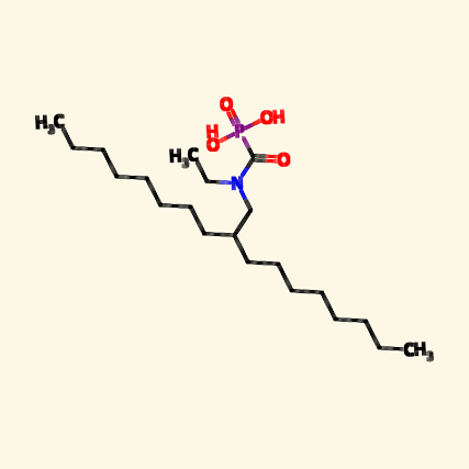 CCCCCCCCC(CCCCCCCC)CN(CC)C(=O)P(=O)(O)O